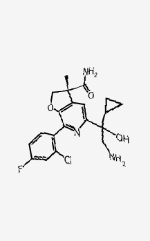 C[C@]1(C(N)=O)COc2c1cc(C(O)(CN)C1CC1)nc2-c1ccc(F)cc1Cl